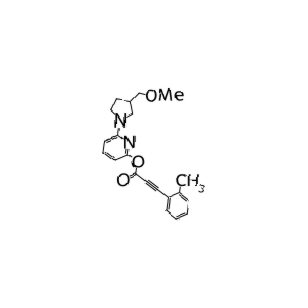 COCC1CCN(c2cccc(OC(=O)C#Cc3ccccc3C)n2)C1